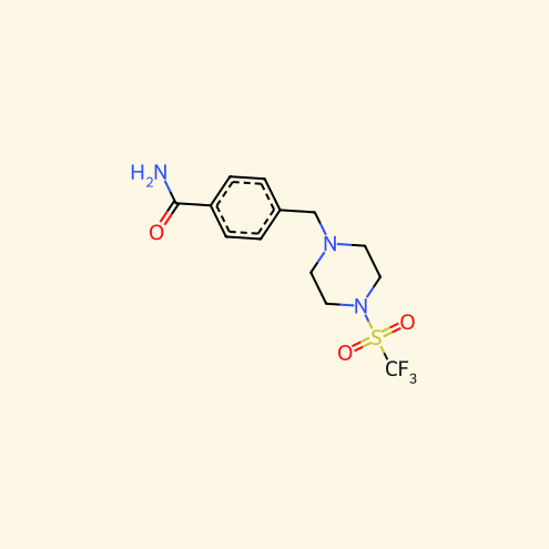 NC(=O)c1ccc(CN2CCN(S(=O)(=O)C(F)(F)F)CC2)cc1